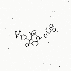 Cc1scnc1C1=C(c2ccc(C(F)(F)F)cc2)C(=O)c2cccc(OCCOc3ccc4c(c3)OCO4)c21